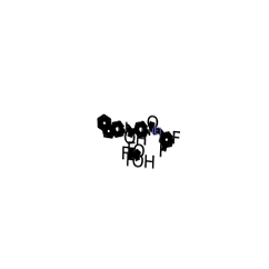 O=C(/C=C/c1cc(F)cc(F)c1)N1CCC(C(O)CN2CCC3(CCc4ccccc43)CC2)CC1.O=C(O)C(F)(F)F